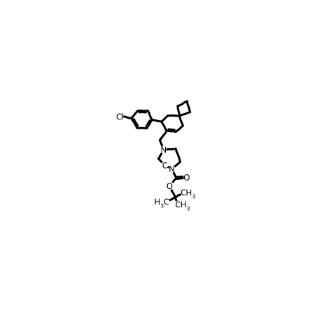 CC(C)(C)OC(=O)N1CCN(CC2=CCC3(CCC3)CC2c2ccc(Cl)cc2)CC1